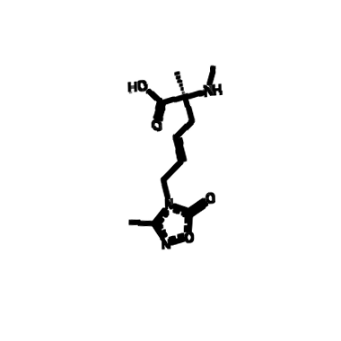 CN[C@@](C)(CC=CCn1c(C)noc1=O)C(=O)O